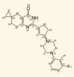 Cc1c(F)cccc1N1CCN([C@H]2C=C(c3nc4c(c(=O)[nH]3)CC3(CC4)CC3)CC2)CC1